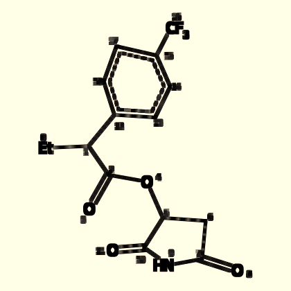 CCC(C(=O)OC1CC(=O)NC1=O)c1ccc(C(F)(F)F)cc1